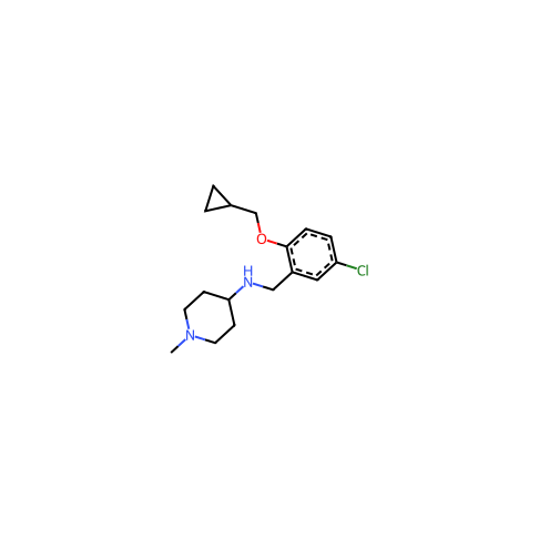 CN1CCC(NCc2cc(Cl)ccc2OCC2CC2)CC1